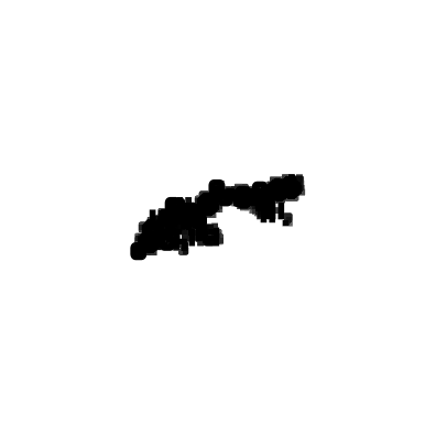 C[C@@H]1C[C@H]2[C@@H]3CCC4=CC(=O)C=C[C@]4(C)[C@@]3(F)[C@@H](O)C[C@]2(C)[C@@]1(O)C(=O)COC(=O)c1ccc(C(=O)OCc2ccc([C@@H](CN)C(=O)Nc3ccc4cnccc4c3)cc2)cc1.Cl.Cl